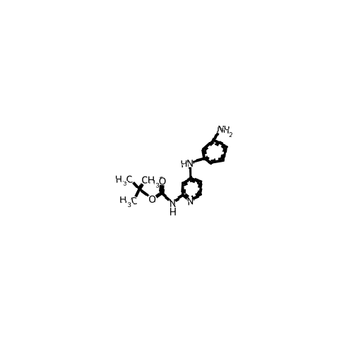 CC(C)(C)OC(=O)Nc1cc(Nc2cccc(N)c2)ccn1